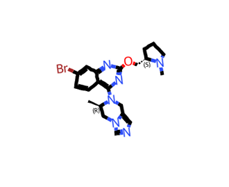 C[C@@H]1Cn2cncc2CN1c1nc(OC[C@@H]2CCCN2C)nc2cc(Br)ccc12